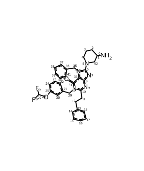 NC1CCCN(c2nc3nc(CCc4ccccc4)n(Cc4cccc(OC(F)F)c4)c(=O)c3n2Cc2ccccc2)C1